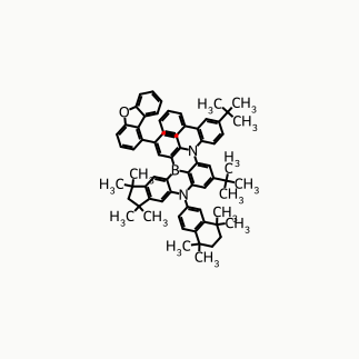 CC(C)(C)c1ccc(N2c3ccc(-c4cccc5oc6ccccc6c45)cc3B3c4cc5c(cc4N(c4ccc6c(c4)C(C)(C)CCC6(C)C)c4cc(C(C)(C)C)cc2c43)C(C)(C)CC5(C)C)c(-c2ccccc2)c1